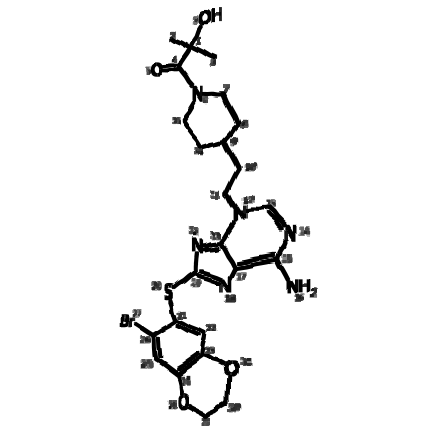 CC(C)(O)C(=O)N1CCC(CCn2cnc(N)c3nc(Sc4cc5c(cc4Br)OCCO5)nc2-3)CC1